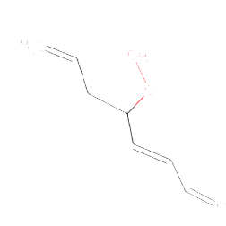 C=CC=CC(CC=C)OO